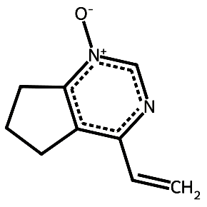 C=Cc1nc[n+]([O-])c2c1CCC2